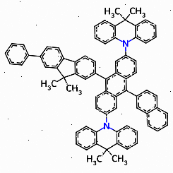 CC1(C)c2cc(-c3ccccc3)ccc2-c2ccc(-c3c4ccc(N5c6ccccc6C(C)(C)c6ccccc65)cc4c(-c4ccc5ccccc5c4)c4ccc(N5c6ccccc6C(C)(C)c6ccccc65)cc34)cc21